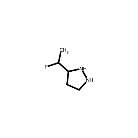 CC(F)C1CCNN1